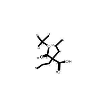 CCCC(CCC)(C(=O)O)C(=O)OC(C)(C)C